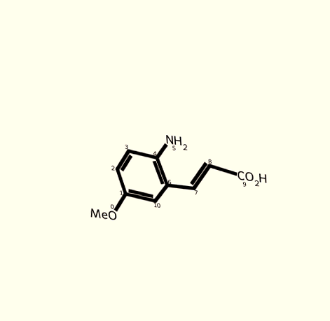 COc1ccc(N)c(/C=C/C(=O)O)c1